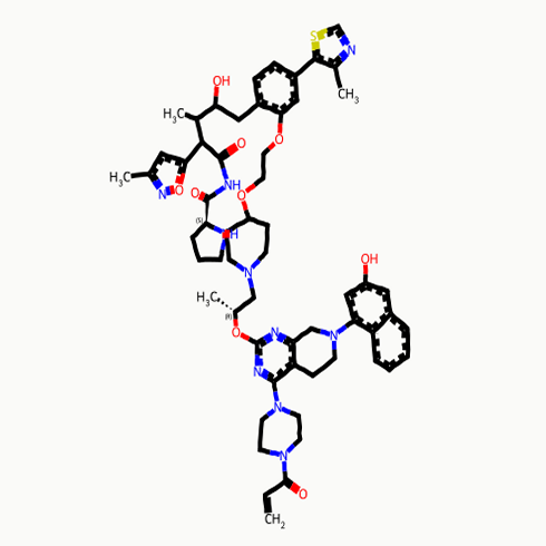 C=CC(=O)N1CCN(c2nc(O[C@H](C)CN3CCC(OCCOc4cc(-c5scnc5C)ccc4CC(O)C(C)C(C(=O)NC(=O)[C@@H]4CCCN4)c4cc(C)no4)CC3)nc3c2CCN(c2cc(O)cc4ccccc24)C3)CC1